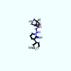 C/C=C\C(=C/NC)c1cccn(NCN[C@@H]2C3CC[C@H]2CNC3)c1=N